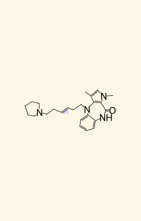 Cc1cn(C)c2c1N(CC/C=C/CCN1CCCCC1)c1ccccc1NC2=O